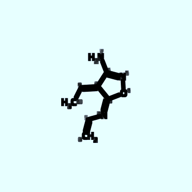 C=C/N=C1/ON=C(N)/C1=C/C